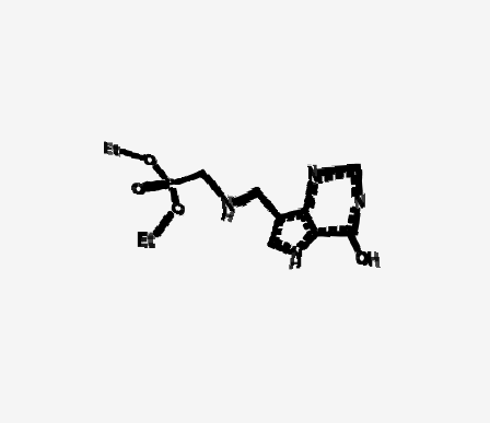 CCOP(=O)(CNCc1c[nH]c2c(O)ncnc12)OCC